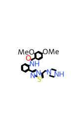 COc1ccc(C(=O)Nc2ccccc2-c2cn3c(CN4CCNCC4)csc3n2)c(OC)c1